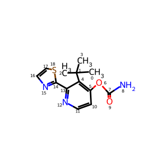 CC(C)(C)c1c(OC(N)=O)ccnc1-c1nccs1